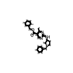 Cc1nc(NC2CCN(Cc3ccccc3)C2)ncc1C(=O)OCc1ccccc1